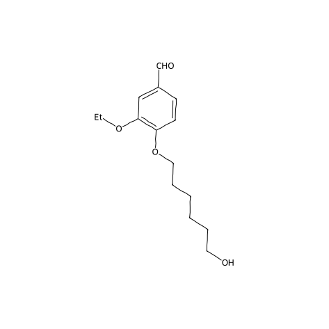 CCOc1cc(C=O)ccc1OCCCCCCO